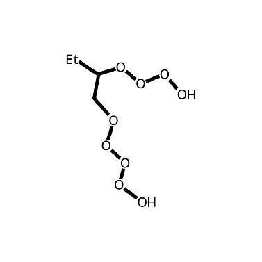 CCC(COOOOO)OOOO